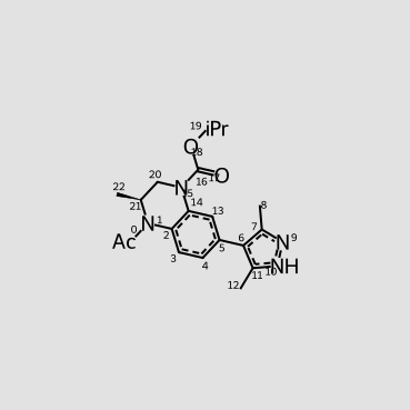 CC(=O)N1c2ccc(-c3c(C)n[nH]c3C)cc2N(C(=O)OC(C)C)C[C@@H]1C